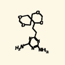 Nc1nc(N)nc(CCC2OCOCC23COCOC3)n1